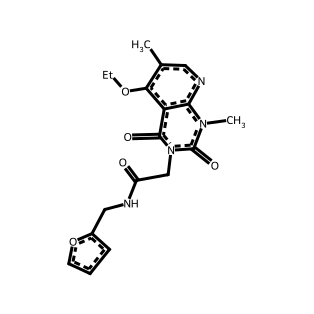 CCOc1c(C)cnc2c1c(=O)n(CC(=O)NCc1ccco1)c(=O)n2C